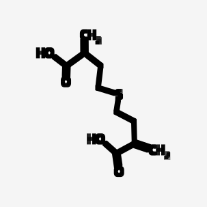 C=C(CCSCCC(=C)C(=O)O)C(=O)O